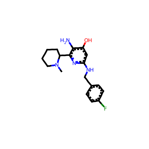 CN1CCCCC1c1nc(NCc2ccc(F)cc2)cc(O)c1N